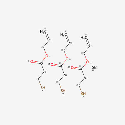 C=CCOC(=O)CCS.C=CCOC(=O)CCS.C=CCOC(=O)CCS.[Sb]